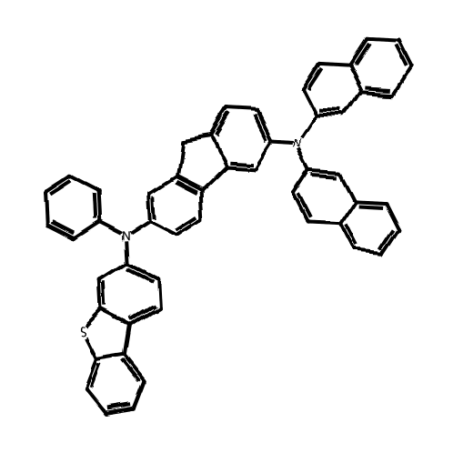 c1ccc(N(c2ccc3c(c2)Cc2ccc(N(c4ccc5ccccc5c4)c4ccc5ccccc5c4)cc2-3)c2ccc3c(c2)sc2ccccc23)cc1